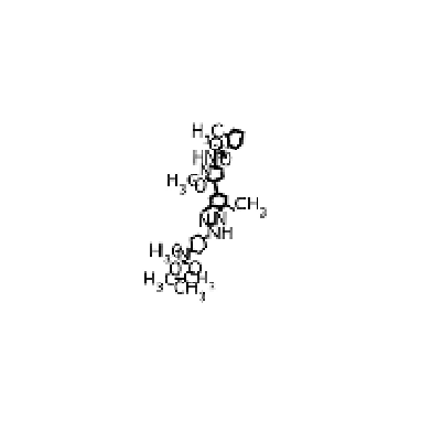 CCc1cc(-c2ccc(NS(=O)(=O)c3ccccc3C)nc2OC)cc2cnc(NC3CCC(N(C)C(=O)OC(C)(C)C)CC3)nc12